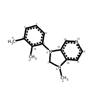 Cc1cccc(N2CN(C)c3ccncc32)c1C